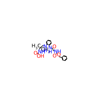 CC(C)(CNC(=O)O)CNc1ccccc1NC(=O)CNC(=O)OCc1ccccc1